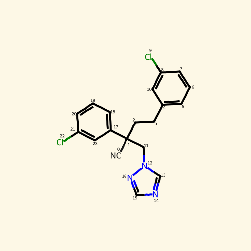 N#CC(CCc1cccc(Cl)c1)(Cn1cncn1)c1cccc(Cl)c1